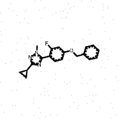 Cn1nc(C2CC2)nc1-c1ccc(OCc2ccccc2)cc1F